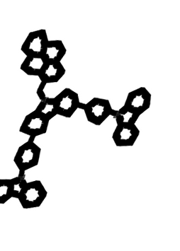 c1cc2ccc3ccc(Cn4c5ccc(-c6ccc(-n7c8ccccc8c8ccccc87)cc6)cc5c5cc(-c6ccc(-n7c8ccccc8c8ccccc87)cc6)ccc54)c4ccc(c1)c2c34